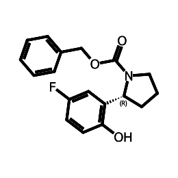 O=C(OCc1ccccc1)N1CCC[C@@H]1c1cc(F)ccc1O